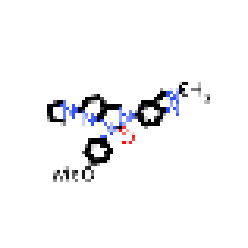 COc1ccc(N2C(=O)N(c3ccc4nn(C)cc4c3)Cc3ccc(N4CCCC4)nc32)cc1